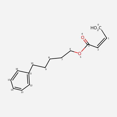 O=C(O)/C=C\C(=O)OCCCCCc1ccccc1